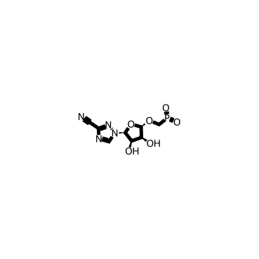 N#Cc1ncn([C@@H]2O[C@H](OCP(=O)=O)[C@@H](O)[C@H]2O)n1